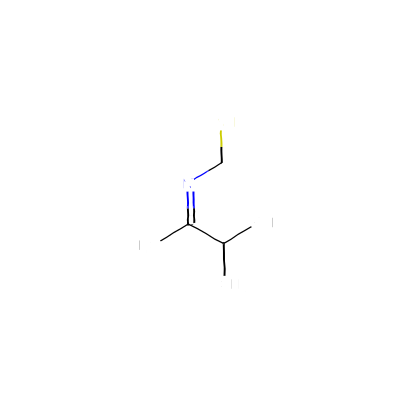 C/C(=N/CS)C(C)C